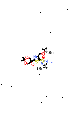 CC1(C)OCC(O)(c2nc(CO[Si](C)(C)C(C)(C)C)c(S(N)(=O)=N[Si](C)(C)C(C)(C)C)s2)CO1